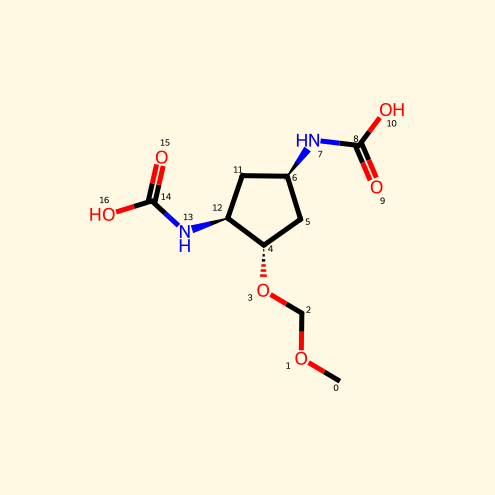 COCO[C@H]1C[C@H](NC(=O)O)C[C@@H]1NC(=O)O